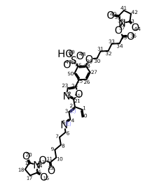 C=C/C(=C\C=N\CCCCCC(=O)ON1C(=O)CCC1=O)c1ncc(-c2ccc(OCCCCCC(=O)ON3C(=O)CCC3=O)c(S(=O)(=O)O)c2)o1